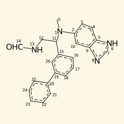 CN(c1ccc2[nH]cnc2c1)C(CNC=O)c1cccc(-c2ccccc2)c1